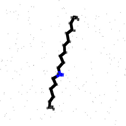 CCCCC[CH]NCCCCCCCCCC